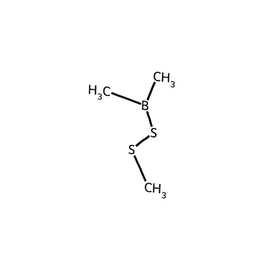 CSSB(C)C